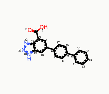 O=C(O)c1cc(-c2ccc(-c3ccccc3)cc2)cc2[nH]nnc12